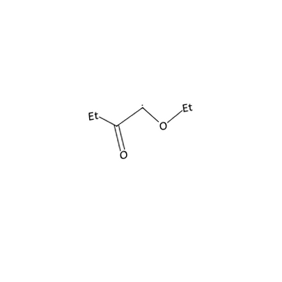 CCO[CH]C(=O)CC